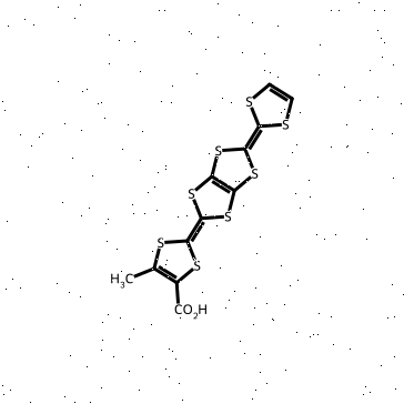 CC1=C(C(=O)O)SC(=C2SC3=C(SC(=C4SC=CS4)S3)S2)S1